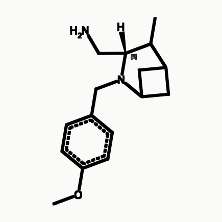 COc1ccc(CN2C3CC(C3)C(C)[C@H]2CN)cc1